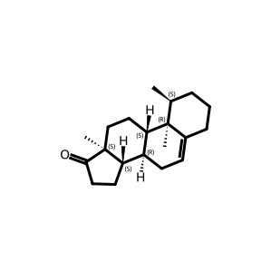 C[C@H]1CCCC2=CC[C@@H]3[C@H](CC[C@]4(C)C(=O)CC[C@@H]34)[C@]21C